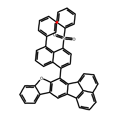 O=S(=O)(c1ccccc1)c1ccc(-c2c3c(cc4c2oc2ccccc24)-c2cccc4cccc-3c24)c2cccc(-c3ccccc3)c12